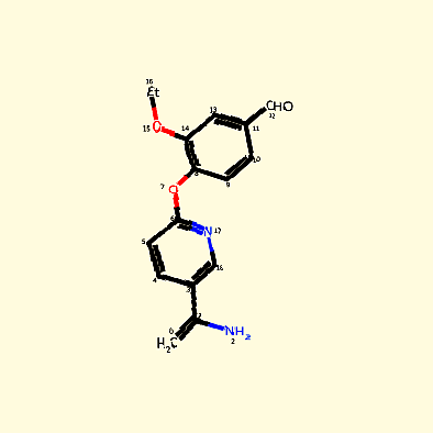 C=C(N)c1ccc(Oc2ccc(C=O)cc2OCC)nc1